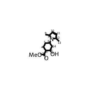 COC(=O)C1CCC(N2C(C)C=CC2C)CC1O